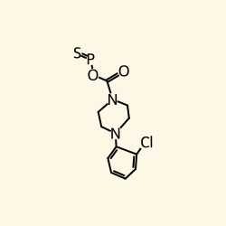 O=C(OP=S)N1CCN(c2ccccc2Cl)CC1